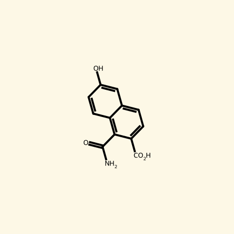 NC(=O)c1c(C(=O)O)ccc2cc(O)ccc12